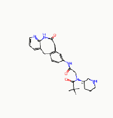 CC(C)(C)C(=O)N(CC(=O)Nc1ccc2c(c1)CC(=O)Nc1ncccc1C2)[C@@H]1CCCNC1